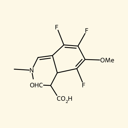 COC1=C(F)C(C(C=O)C(=O)O)/C(=C\N(C)C)C(F)=C1F